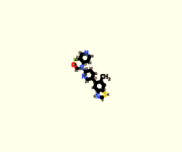 Cc1cc2scnc2cc1-c1ccc(N(C=O)c2ccncc2F)nc1